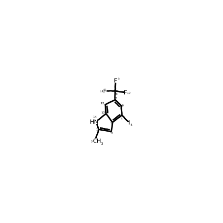 Cc1cc2c(I)cc(C(F)(F)F)cc2[nH]1